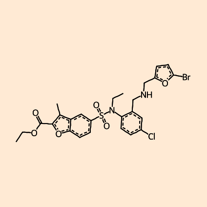 CCOC(=O)c1oc2ccc(S(=O)(=O)N(CC)c3ccc(Cl)cc3CNCc3ccc(Br)o3)cc2c1C